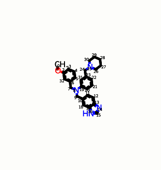 COc1cccc(CN(Cc2ccc3nc[nH]c3c2)c2cccc(CN3CCCCC3)c2)c1